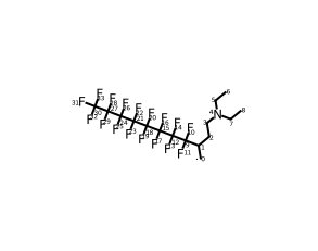 [CH2]C(CCN(CC)CC)C(F)(F)C(F)(F)C(F)(F)C(F)(F)C(F)(F)C(F)(F)C(F)(F)C(F)(F)F